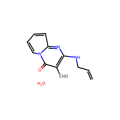 C=CCNc1nc2ccccn2c(=O)c1C=O.O